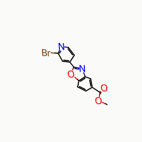 COC(=O)c1ccc2oc(-c3ccnc(Br)c3)nc2c1